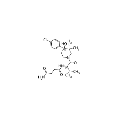 CC(C)[C@@H](NC(=O)CCC(N)=O)C(=O)N1CC[C@](O)(c2ccc(Cl)cc2)C(C)(C)C1